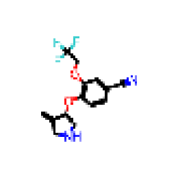 C=C1CNC[C@@H]1Oc1ccc(C#N)cc1OCC(F)(F)F